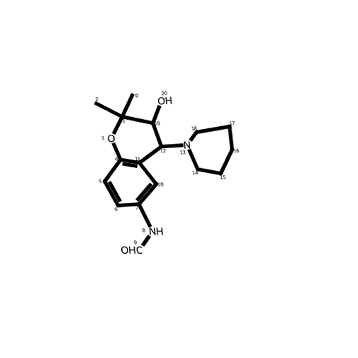 CC1(C)Oc2ccc(NC=O)cc2C(N2CCCCC2)C1O